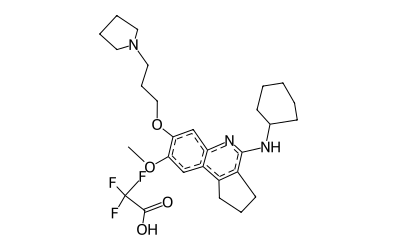 COc1cc2c3c(c(NC4CCCCC4)nc2cc1OCCCN1CCCC1)CCC3.O=C(O)C(F)(F)F